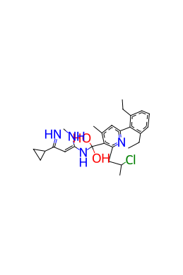 CCc1cccc(CC)c1-c1cc(C)c(C(O)(O)N/C(=C/C(=N)C2CC2)NC)c(CC(C)Cl)n1